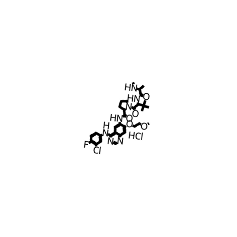 CNC(C)C(=O)NC(C(=O)N1CCCC1C(=O)Nc1cc2c(Nc3ccc(F)c(Cl)c3)ncnc2cc1OCCOC)C(C)(C)C.Cl